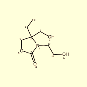 CCC1(CO)COC(=O)N1CCO